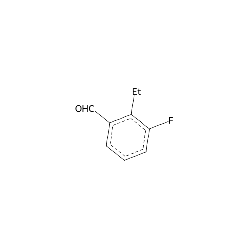 CCc1c(F)cccc1C=O